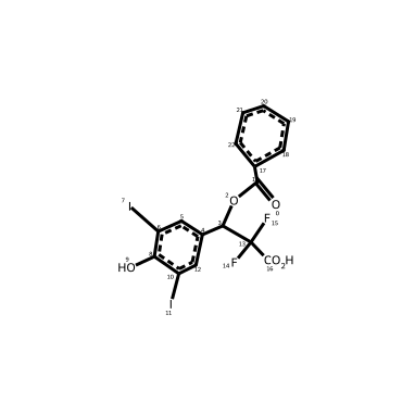 O=C(OC(c1cc(I)c(O)c(I)c1)C(F)(F)C(=O)O)c1ccccc1